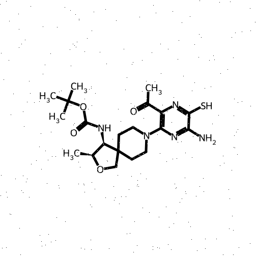 CC(=O)c1nc(S)c(N)nc1N1CCC2(CC1)CO[C@@H](C)[C@H]2NC(=O)OC(C)(C)C